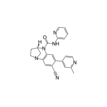 Cc1cc(-c2cc3c(cc2C#N)N2CC[C@@H](C2)N3C(=O)Nc2ccccn2)ccn1